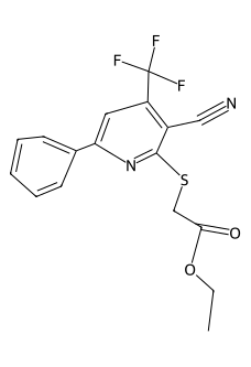 CCOC(=O)CSc1nc(-c2ccccc2)cc(C(F)(F)F)c1C#N